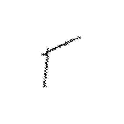 CC(C)CCCCCCCCCCCCCCCCCCCCCCC(O)CCC(C)CCCCCCCCCCCCCCCCCCCCCCCO